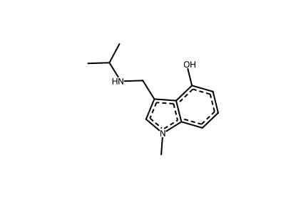 CC(C)NCc1cn(C)c2cccc(O)c12